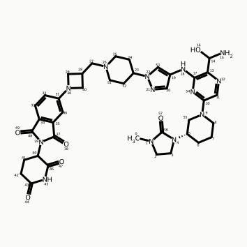 CN1CCN([C@H]2CCCN(c3cnc(C(N)O)c(Nc4cnn(C5CCN(CC6CN(c7ccc8c(c7)C(=O)N(C7CCC(=O)NC7=O)C8=O)C6)CC5)c4)n3)C2)C1=O